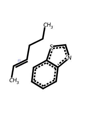 C/C=C/CCC.c1ccc2scnc2c1